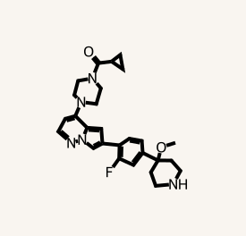 COC1(c2ccc(-c3cc4c(N5CCN(C(=O)C6CC6)CC5)ccnn4c3)c(F)c2)CCNCC1